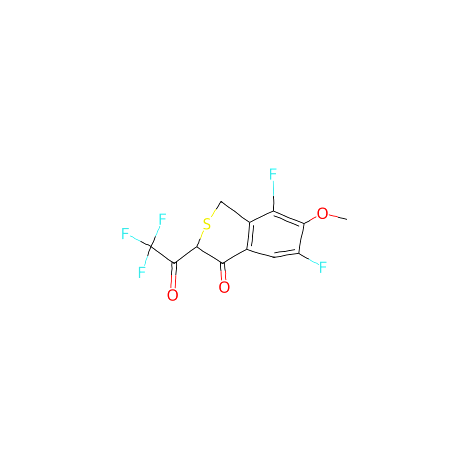 COc1c(F)cc2c(c1F)CSC(C(=O)C(F)(F)F)C2=O